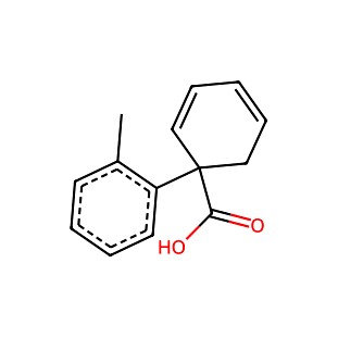 Cc1ccccc1C1(C(=O)O)C=CC=CC1